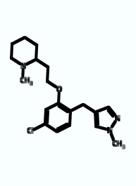 CN1CCCCC1CCOc1cc(Cl)ccc1Cc1cnn(C)c1